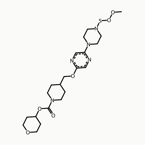 COOSN1CCN(c2cnc(OCC3CCN(C(=O)OC4CCOCC4)CC3)cn2)CC1